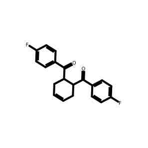 O=C(c1ccc(F)cc1)C1CC=CCC1C(=O)c1ccc(F)cc1